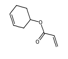 C=CC(=O)OC1CC=CCC1